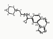 O=C(NCCN1CCOCC1)c1ccc2ncc3nncn3c2c1